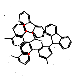 Cc1cc(-c2ccccc2O)c(ON(Cc2ccccc2)Oc2c(-c3ccccc3O)cc(C)cc2C2c3ccccc3-c3ccccc32)c(C2c3ccccc3-c3ccccc32)c1